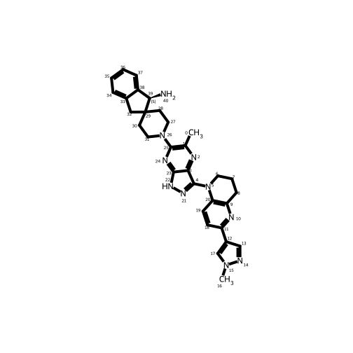 Cc1nc2c(N3CCCc4nc(-c5cnn(C)c5)ccc43)n[nH]c2nc1N1CCC2(CC1)Cc1ccccc1[C@H]2N